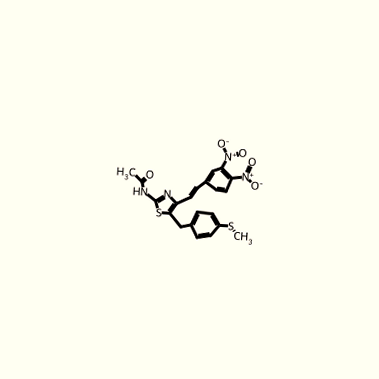 CSc1ccc(Cc2sc(NC(C)=O)nc2C=Cc2ccc([N+](=O)[O-])c([N+](=O)[O-])c2)cc1